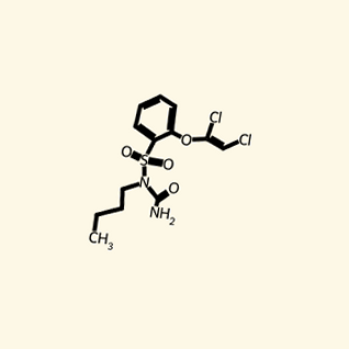 CCCCN(C(N)=O)S(=O)(=O)c1ccccc1OC(Cl)=CCl